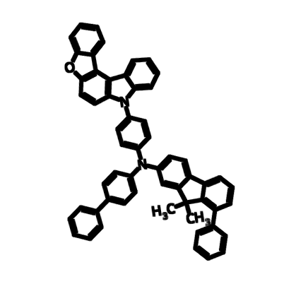 CC1(C)c2cc(N(c3ccc(-c4ccccc4)cc3)c3ccc(-n4c5ccccc5c5c6c(ccc54)oc4ccccc46)cc3)ccc2-c2cccc(-c3ccccc3)c21